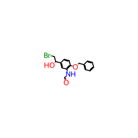 O=CNc1cc([C@@H](O)CBr)ccc1OCc1ccccc1